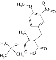 COc1ccc(CC(C(=O)O)N(C)C(=O)OC(C)(C)C)cc1[N+](=O)[O-]